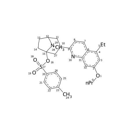 CCCOc1cc(CC)c2ccc(C3CC4CCC(OS(=O)(=O)c5ccc(C)cc5)(C3)N4C)nc2c1